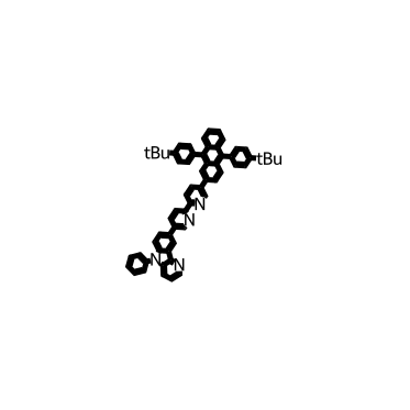 CC(C)(C)c1ccc(-c2c3ccccc3c(-c3ccc(C(C)(C)C)cc3)c3cc(-c4ccc(-c5ccc(-c6ccc7c(c6)c6ncccc6n7-c6ccccc6)cn5)nc4)ccc23)cc1